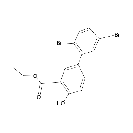 CCOC(=O)c1cc(-c2cc(Br)ccc2Br)ccc1O